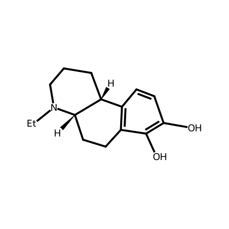 CCN1CCC[C@@H]2c3ccc(O)c(O)c3CC[C@@H]21